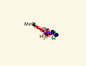 COCCOCCOCCOCCNC(=O)[C@@H](NC(=O)OC(C)(C)C)C(C)OC(=O)Cc1ccccc1Nc1c(Cl)cccc1Cl